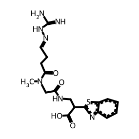 CN(CC(=O)NCC(C(=O)O)c1nc2ccccc2s1)C(=O)CCC=NNC(=N)N